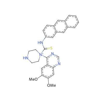 COc1cc2ncnc([N+]3(C(=S)Nc4ccc5cc6ccccc6cc5c4)CCNCC3)c2cc1OC